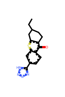 CCC1CCc2c(sc3cc(-c4nnn[nH]4)ccc3c2=O)C1